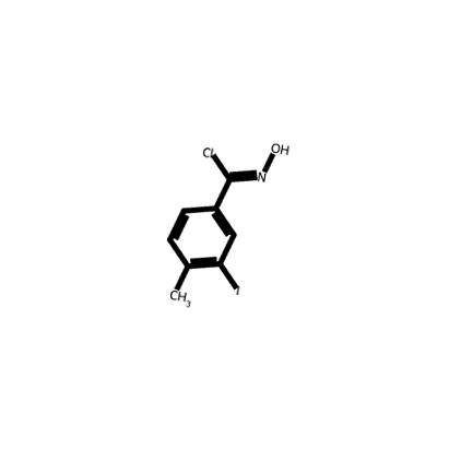 Cc1ccc(C(Cl)=NO)cc1I